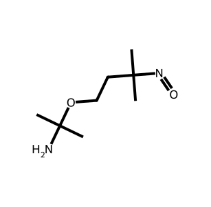 CC(C)(CCOC(C)(C)N)N=O